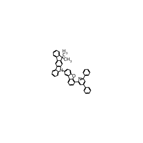 CC1(C)c2ccccc2-c2cc3c4ccccc4n(-c4ccc5oc6c(-c7cc(-c8ccccc8)cc(-c8ccccc8)n7)cccc6c5c4)c3cc21